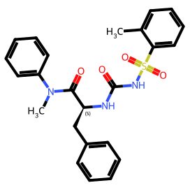 Cc1ccccc1S(=O)(=O)NC(=O)N[C@@H](Cc1ccccc1)C(=O)N(C)c1ccccc1